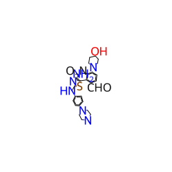 CN1CCN(c2ccc(Nc3nc(N)c(-c4c(C=O)ccc(N5CCC(O)CC5)c4[N+](=O)[O-])s3)cc2)CC1